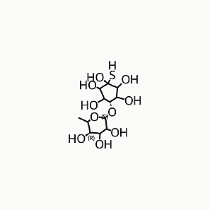 CC1O[C@@H](O[C@H]2C(O)C(O)[C@@](O)(S)C(O)C2O)C(O)C(O)[C@H]1O